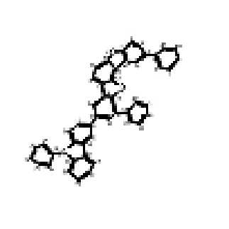 c1ccc(-c2ccc3oc4ccc5c6cc(-c7ccc8c(c7)c7ccccc7n8-c7ccccc7)cc(-c7ccccc7)c6oc5c4c3c2)cc1